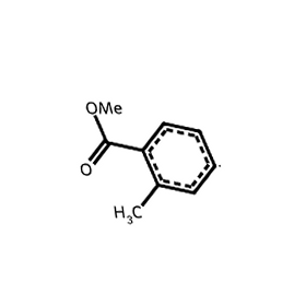 COC(=O)c1cc[c]cc1C